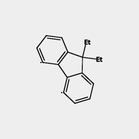 CCC1(CC)c2ccc[c]c2-c2[c]cccc21